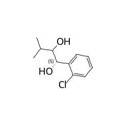 CC(C)C(O)[C@@H](O)c1ccccc1Cl